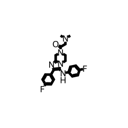 CN(C)CC(=O)N1CCn2c(nc(-c3ccc(F)cc3)c2Nc2ccc(F)cc2)C1